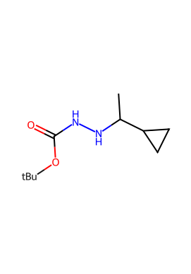 CC(NNC(=O)OC(C)(C)C)C1CC1